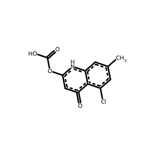 Cc1cc(Cl)c2c(=O)cc(OC(=O)O)[nH]c2c1